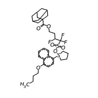 CCCCOc1ccc(S2(OS(=O)(=O)C(F)(F)C(F)CCOC(=O)C34CC5CC(CC(C5)C3)C4)CCCC2)c2ccccc12